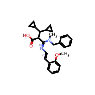 COc1ccccc1/C=C/N=C(/C(C(=O)O)C(C1CC1)C1CC1)N(C)Cc1ccccc1